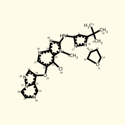 Cn1c(Nc2cc(C(C)(C)C)n([C@@H]3CCOC3)n2)nc2ncc(Oc3cnn4ccncc34)c(Cl)c21